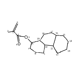 C=C(C)C(=O)OC1CCCC2C3CCCCC3CCC12